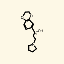 O[C@H](CCN1CCCC1)c1ccc2c(c1)OCCO2